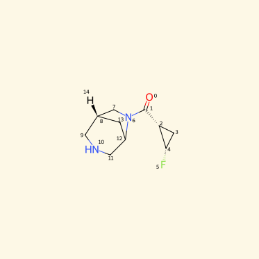 O=C([C@@H]1C[C@@H]1F)N1C[C@H]2CNCC1C2